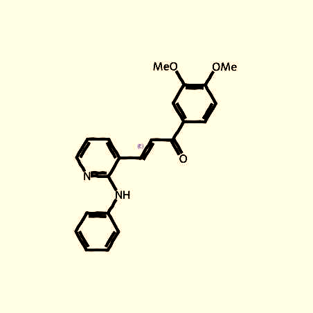 COc1ccc(C(=O)/C=C/c2cccnc2Nc2ccccc2)cc1OC